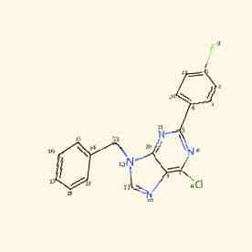 Fc1ccc(-c2nc(Cl)c3ncn(Cc4ccccc4)c3n2)cc1